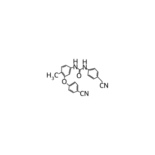 Cc1ccc(NC(=O)Nc2ccc(CC#N)cc2)cc1Oc1ccc(C#N)cc1